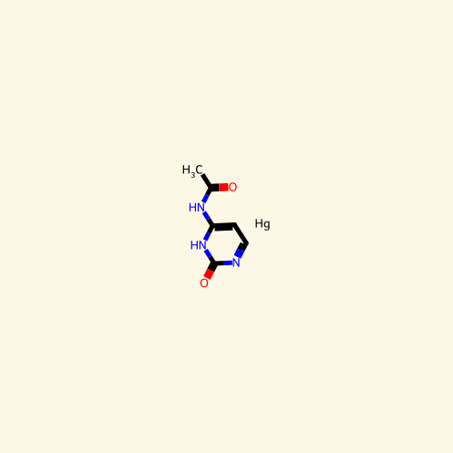 CC(=O)Nc1ccnc(=O)[nH]1.[Hg]